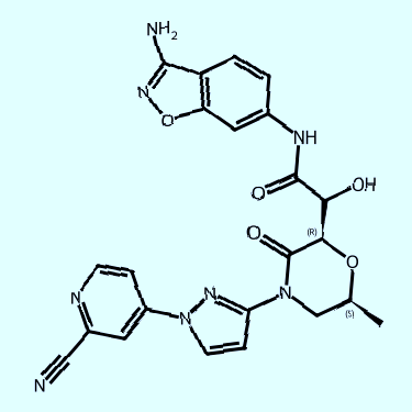 C[C@H]1CN(c2ccn(-c3ccnc(C#N)c3)n2)C(=O)[C@@H](C(O)C(=O)Nc2ccc3c(N)noc3c2)O1